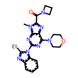 CCc1nc2ccccc2n1-c1nc(N2CCOCC2)c2nc(C(=O)N3CCC3)n(C)c2n1